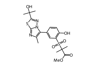 COC(=O)C(C)(C)S(=O)(=O)c1cc(-c2c(C)nc3sc(C(C)(C)O)nn23)ccc1O